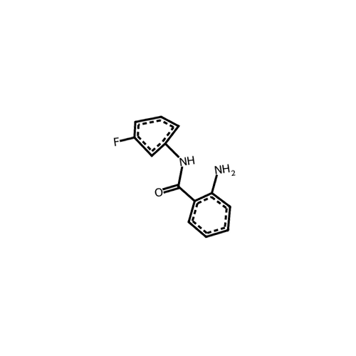 Nc1ccccc1C(=O)Nc1cccc(F)c1